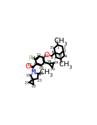 CC1CC2CC(C)CC(COc3cc(F)c(C(=O)N4CC5(CC5)CC4C)cc3C3CC3)(C1)C2